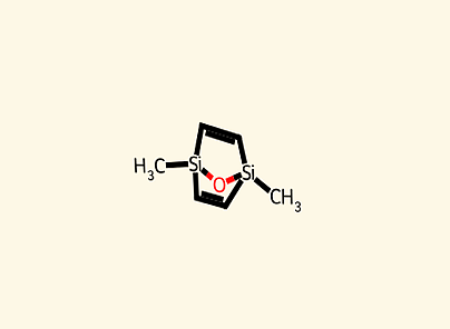 C[Si]12C=C[Si](C)(C=C1)O2